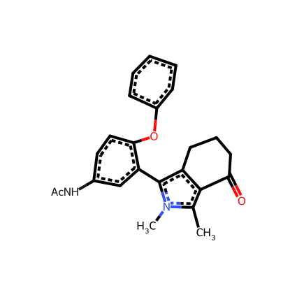 CC(=O)Nc1ccc(Oc2ccccc2)c(-c2c3c(c(C)n2C)C(=O)CCC3)c1